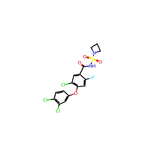 O=C(NS(=O)(=O)N1CCC1)c1cc(Cl)c(Oc2ccc(Cl)c(Cl)c2)cc1F